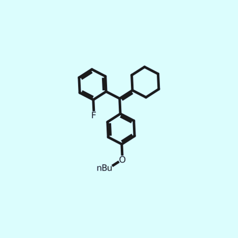 CCCCOc1ccc(C(=C2CCCCC2)c2ccccc2F)cc1